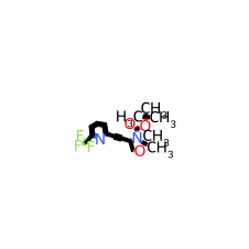 CC(C)(C)OC(=O)N1C(C#Cc2cccc(C(F)(F)F)n2)COC1(C)C